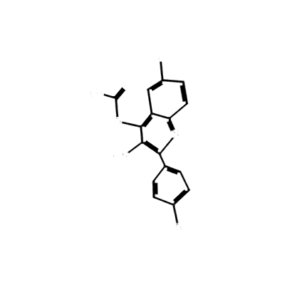 Nc1c(-c2ccc(Br)cc2)nc2ccc(F)cc2c1OC(=O)O